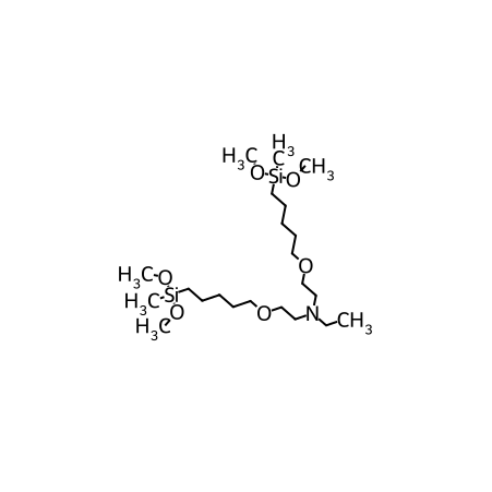 CCN(CCOCCCCC[Si](C)(OC)OC)CCOCCCCC[Si](C)(OC)OC